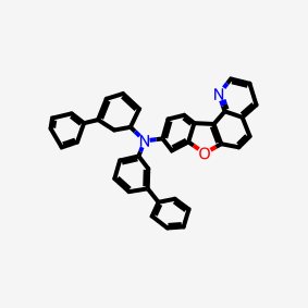 C1=CC(N(c2cccc(-c3ccccc3)c2)c2ccc3c(c2)oc2ccc4cccnc4c23)CC(c2ccccc2)=C1